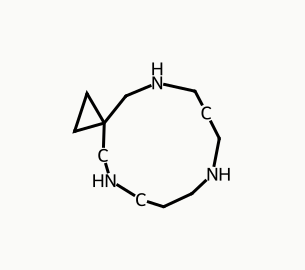 C1CNCCCNCC2(CC2)CNC1